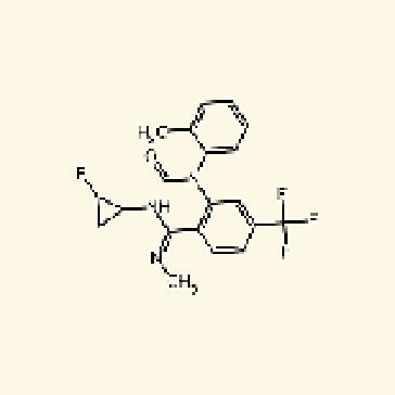 C/N=C(/NC1CC1F)c1ccc(C(F)(F)F)cc1N(C=O)c1ccccc1C